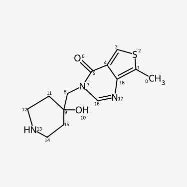 Cc1scc2c(=O)n(CC3(O)CCNCC3)cnc12